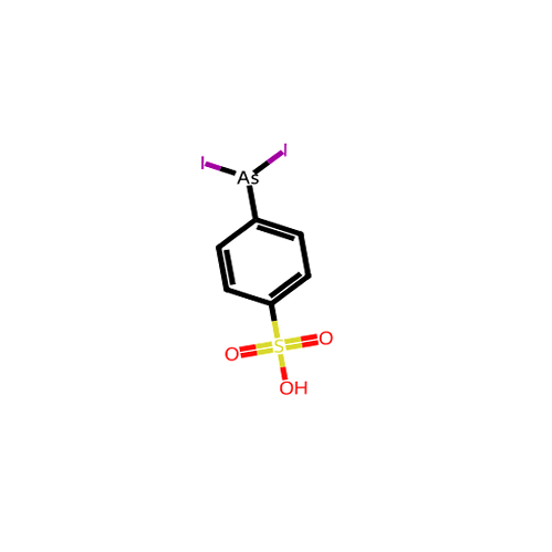 O=S(=O)(O)c1ccc([As](I)I)cc1